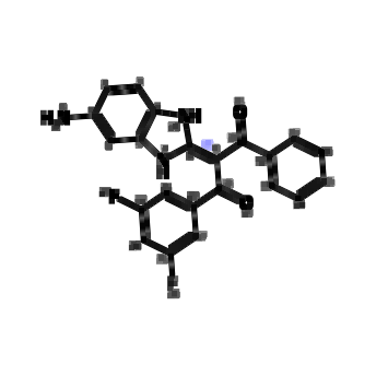 Nc1ccc2c(c1)N/C(=C(/C(=O)c1ccccc1)C(=O)c1cc(F)cc(F)c1)N2